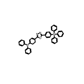 C1=C(c2nnc(-c3ccc([Si](c4ccccc4)(c4ccccc4)c4ccccc4)cc3)o2)CCC(N(c2ccccc2)c2ccccc2)=C1